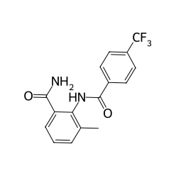 Cc1cccc(C(N)=O)c1NC(=O)c1ccc(C(F)(F)F)cc1